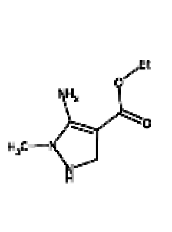 CCOC(=O)C1=C(N)N(C)NC1